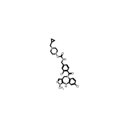 Cn1ncc2c1Nc1cc(Cl)ccc1N(C(=O)c1ccc(CNC(=O)ON3CCN(CC4CC4)CC3)cc1Cl)C2